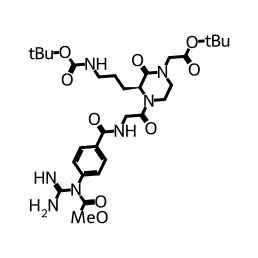 COC(=O)N(C(=N)N)c1ccc(C(=O)NCC(=O)N2CCN(CC(=O)OC(C)(C)C)C(=O)[C@@H]2CCCNC(=O)OC(C)(C)C)cc1